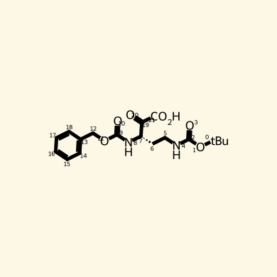 CC(C)(C)OC(=O)NCC[C@H](NC(=O)OCc1ccccc1)C(=O)C(=O)O